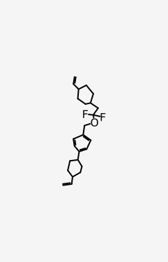 C=CC1CCC(CC(F)(F)OCc2ccc(C3CCC(C=C)CC3)cc2)CC1